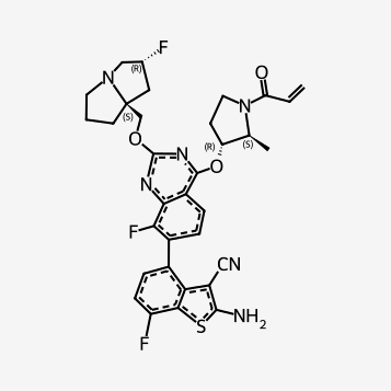 C=CC(=O)N1CC[C@@H](Oc2nc(OC[C@@]34CCCN3C[C@H](F)C4)nc3c(F)c(-c4ccc(F)c5sc(N)c(C#N)c45)ccc23)[C@@H]1C